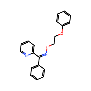 c1ccc(OCCON=C(c2ccccc2)c2ccccn2)cc1